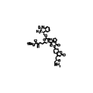 CC(COC(=O)N[C@@H](CCCCNC(=O)OC(C)(C)C)C(=O)N1CCC[C@H]1C(=O)Oc1ccc2c(CC(=O)CN)cc(=O)oc2c1)c1ccccc1[N+](=O)[O-]